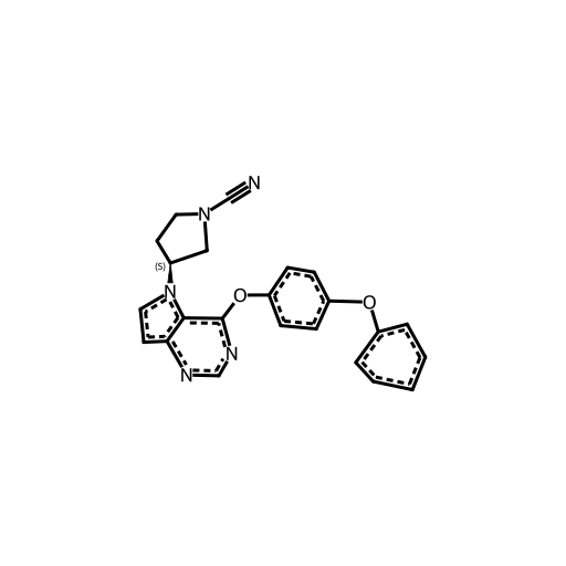 N#CN1CC[C@H](n2ccc3ncnc(Oc4ccc(Oc5ccccc5)cc4)c32)C1